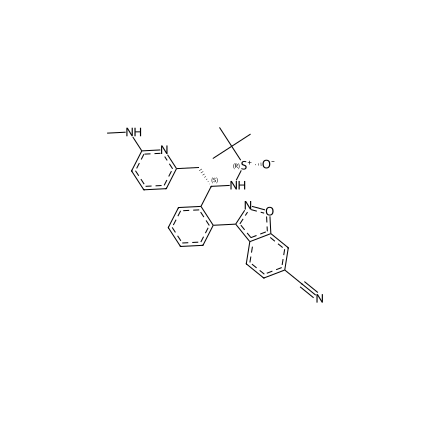 CNc1cccc(C[C@H](N[S@@+]([O-])C(C)(C)C)c2ccccc2-c2noc3cc(C#N)ccc23)n1